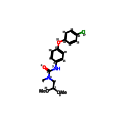 COC(CN(C)C(=O)Nc1ccc(Oc2ccc(Cl)cc2)cc1)OC